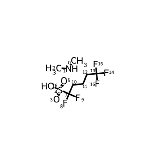 CNC.O=S(=O)(O)C(F)(F)CCCC(F)(F)F